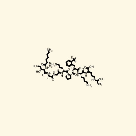 C[C@H](NC(=O)[C@@H](NC(=O)[C@@H](N)CCCCN)[C@@H](O)CN)C(=O)NCC(=O)N[C@H](CCCN)C(=O)N1CCC[C@H]1C(=O)N[C@@H](Cc1ccccc1C(F)(F)F)C(=O)N[C@@H](CCCCN)C(=O)N/C(=C\CCNC(=N)N)C(=O)O